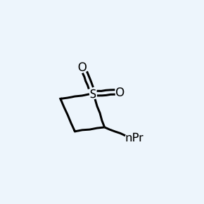 CCCC1CCS1(=O)=O